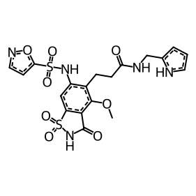 COc1c(CCC(=O)NCc2ccc[nH]2)c(NS(=O)(=O)c2ccno2)cc2c1C(=O)NS2(=O)=O